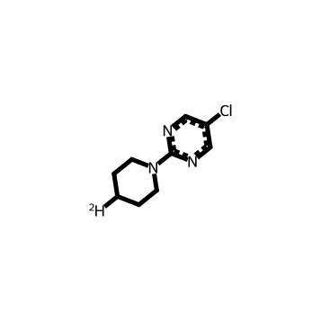 [2H]C1CCN(c2ncc(Cl)cn2)CC1